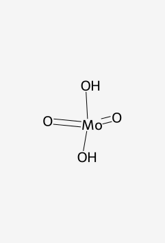 [O]=[Mo](=[O])([OH])[OH]